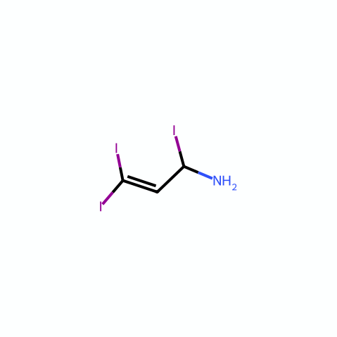 NC(I)C=C(I)I